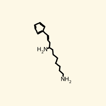 NCCCCCCCC(N)CC=Cc1ccccc1